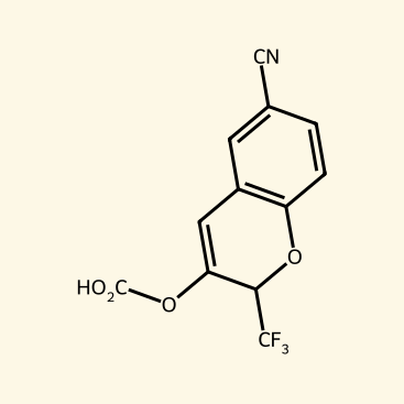 N#Cc1ccc2c(c1)C=C(OC(=O)O)C(C(F)(F)F)O2